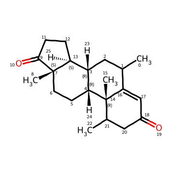 CC1C[C@@H]2[C@@H](CC[C@]3(C)C(=O)CC[C@@H]23)[C@]2(C)C1=CC(=O)CC2C